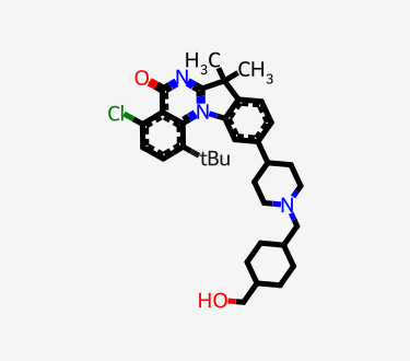 CC(C)(C)c1ccc(Cl)c2c(=O)nc3n(c12)-c1cc(C2CCN(CC4CCC(CO)CC4)CC2)ccc1C3(C)C